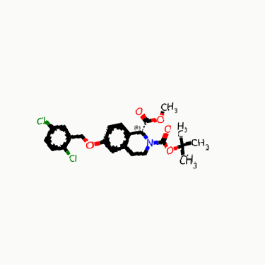 COC(=O)[C@H]1c2ccc(OCc3cc(Cl)ccc3Cl)cc2CCN1C(=O)OC(C)(C)C